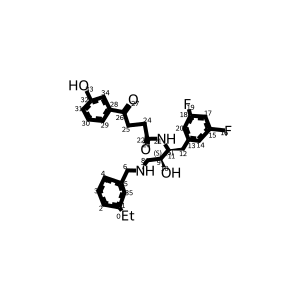 CCc1cccc(CNC[C@H](O)[C@H](Cc2cc(F)cc(F)c2)NC(=O)CCC(=O)c2cccc(O)c2)c1